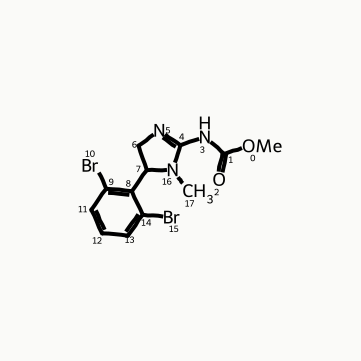 COC(=O)NC1=NCC(c2c(Br)cccc2Br)N1C